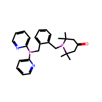 CC1(C)CC(=O)CC(C)(C)P1Cc1ccccc1CP(c1ccccn1)c1ccccn1